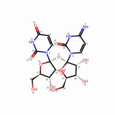 N=c1ccn([C@]2(O[C@@]3(n4ccc(=O)[nH]c4=O)O[C@H](CO)[C@@H](O)[C@H]3O)O[C@H](CO)[C@@H](O)[C@H]2O)c(=O)[nH]1